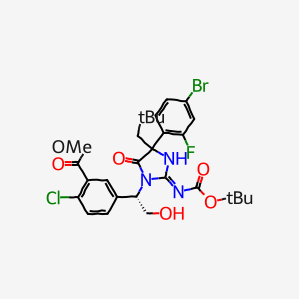 COC(=O)c1cc([C@@H](CO)N2C(=O)C(CC(C)(C)C)(c3ccc(Br)cc3F)NC2=NC(=O)OC(C)(C)C)ccc1Cl